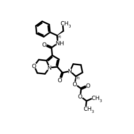 CC[C@@H](NC(=O)c1cc(C(=O)N2CCC[C@H]2OC(=O)OC(C)C)n2c1COCC2)c1ccccc1